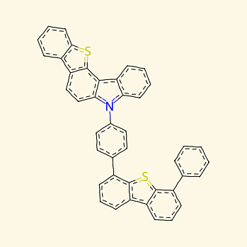 c1ccc(-c2cccc3c2sc2c(-c4ccc(-n5c6ccccc6c6c7sc8ccccc8c7ccc65)cc4)cccc23)cc1